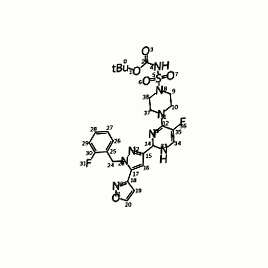 CC(C)(C)OC(=O)NS(=O)(=O)N1CCN(C2=NC(c3cc(-c4ccon4)n(Cc4ccccc4F)n3)NC=C2F)CC1